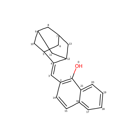 Oc1c(C=C2C3CC4CC(C3)CC2C4)ccc2ccccc12